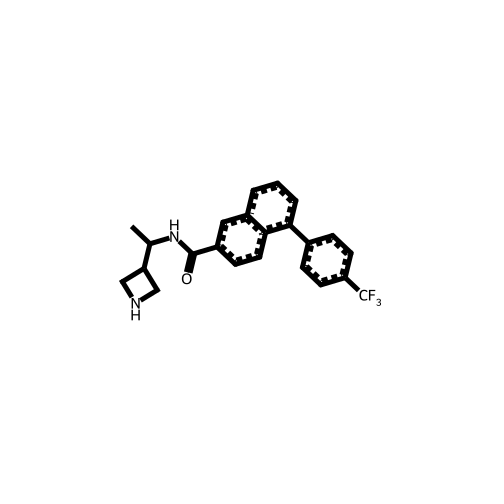 CC(NC(=O)c1ccc2c(-c3ccc(C(F)(F)F)cc3)cccc2c1)C1CNC1